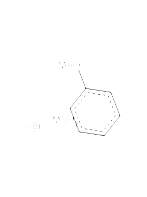 Br.COc1ccccc1.[MgH2]